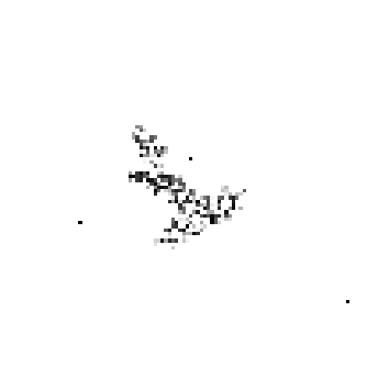 Cc1ccc([S+]([O-])CC(CS(=O)(=O)c2ccc(C)cc2)C(=O)c2ccc(C(=O)N[C@@H](CCC(=O)OC(C)(C)C)C(=O)O)cc2)cc1